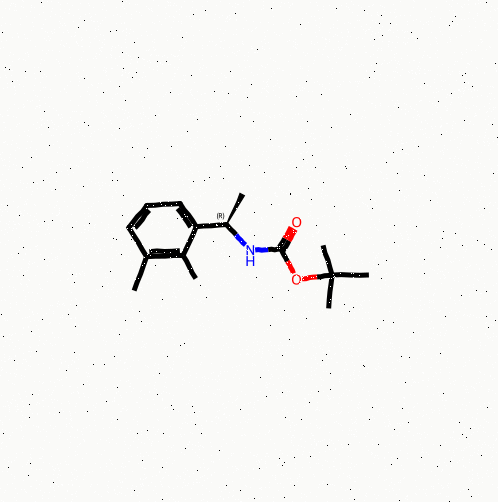 Cc1cccc([C@@H](C)NC(=O)OC(C)(C)C)c1C